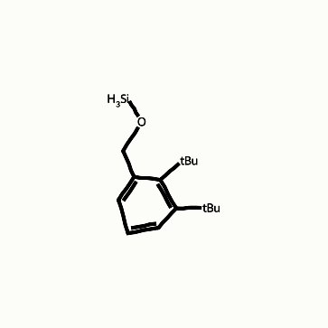 CC(C)(C)c1cccc(CO[SiH3])c1C(C)(C)C